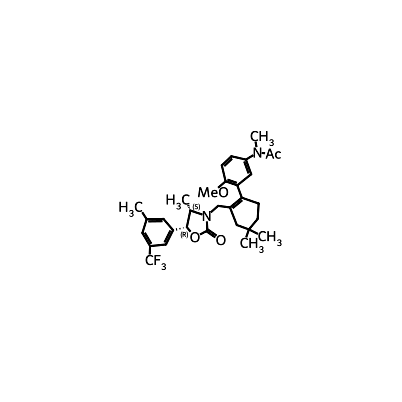 COc1ccc(N(C)C(C)=O)cc1C1=C(CN2C(=O)O[C@H](c3cc(C)cc(C(F)(F)F)c3)[C@@H]2C)CC(C)(C)CC1